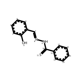 Oc1ccccc1C=NNC(=S)c1ccccc1